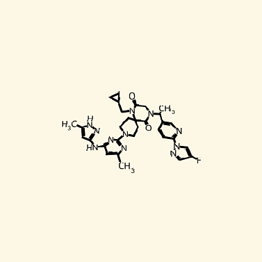 Cc1cc(Nc2cc(C)[nH]n2)nc(N2CCC3(CC2)C(=O)N([C@@H](C)c2ccc(-n4cc(F)cn4)nc2)CC(=O)N3CC2CC2)n1